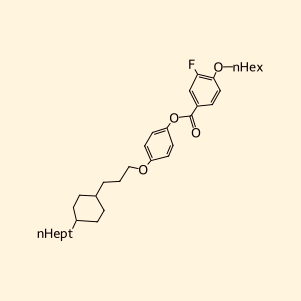 CCCCCCCC1CCC(CCCOc2ccc(OC(=O)c3ccc(OCCCCCC)c(F)c3)cc2)CC1